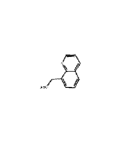 CC(=O)OCc1cccc2cccnc12